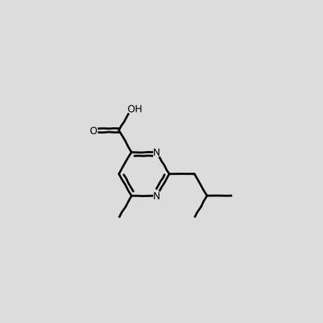 Cc1cc(C(=O)O)nc(CC(C)C)n1